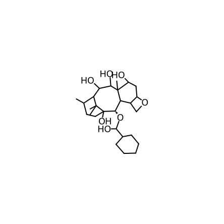 CC1CCC2(O)[C@H](OC(O)C3CCCCC3)C3C4COC4CC(O)C3(C)C(O)C(O)C1C2(C)C